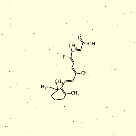 CC(C=CC1=C(C)CCCC1(C)C)=CC=C(F)C(C)=CC(=O)O